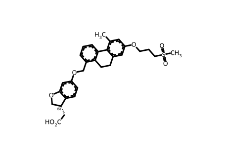 Cc1cc(OCCCS(C)(=O)=O)cc2c1-c1cccc(COc3ccc4c(c3)OC[C@H]4CC(=O)O)c1CC2